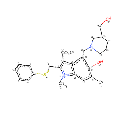 CCOC(=O)c1c(CSc2ccccc2)n(C)c2cc(C#N)c(O)c(CN3CCCC(CO)C3)c12